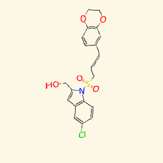 O=S(=O)(CC=Cc1ccc2c(c1)OCCO2)n1c(CO)cc2cc(Cl)ccc21